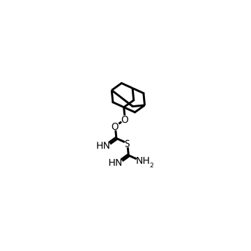 N=C(N)SC(=N)OOC12CC3CC(CC(C3)C1)C2